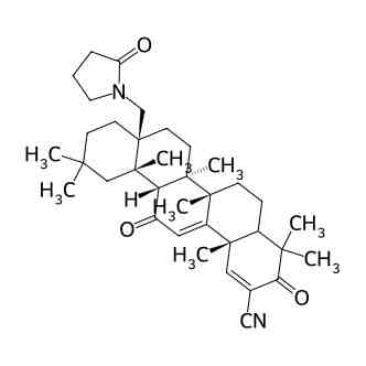 CC1(C)CC[C@]2(CN3CCCC3=O)CC[C@]3(C)[C@H](C(=O)C=C4[C@@]5(C)C=C(C#N)C(=O)C(C)(C)C5CC[C@]43C)[C@]2(C)C1